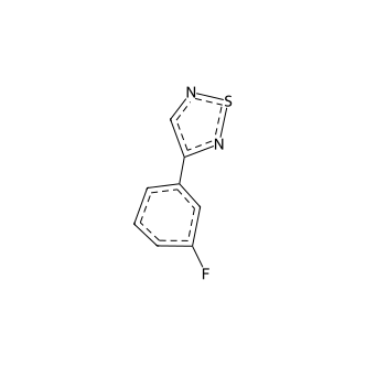 Fc1cccc(-c2cnsn2)c1